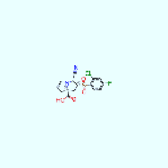 N#CC1[C@H](S(=O)(=O)c2ccc(F)cc2Cl)C[C@]2(C(=O)O)CC=CN12